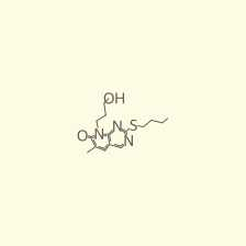 CCCCSc1ncc2cc(C)c(=O)n(CCCO)c2n1